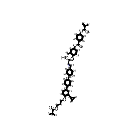 C=C(C)C(=O)OCCCOc1ccc(-c2ccc(-c3ccc(/C=C/C(O)Oc4ccc(OC(=O)c5ccc(OC(=O)C(=C)C)cc5)cc4C)cc3)cc2)cc1C1CC1